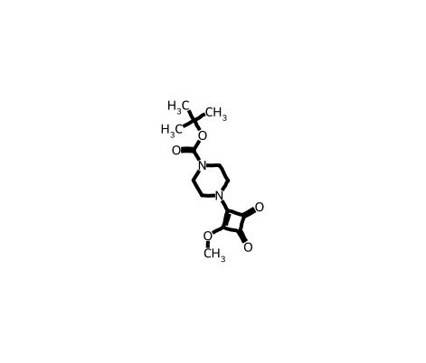 COc1c(N2CCN(C(=O)OC(C)(C)C)CC2)c(=O)c1=O